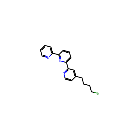 BrCCCCc1ccnc(-c2cccc(-c3ccccn3)n2)c1